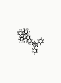 c1ccc(-c2nc(-c3ccccc3)nc(-c3ccc4c5c(ccc4c3)C(c3ccccc3)(c3ccccc3)c3ccccc3-5)n2)cc1